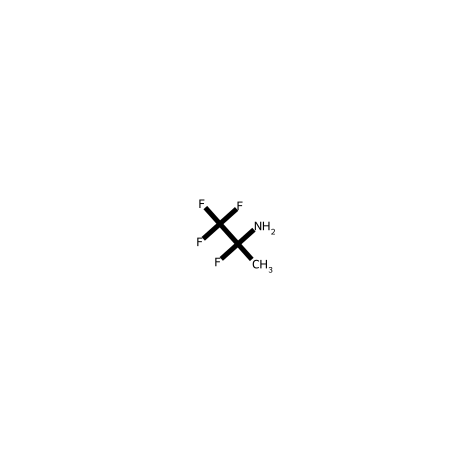 CC(N)(F)C(F)(F)F